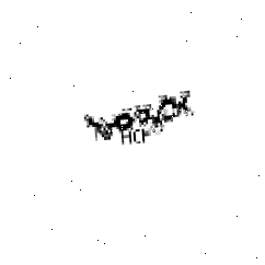 CCc1noc(-c2ccc(N3CC[C@H](C(=O)N4CCCN(C(C)C)CC4)C3)cc2)n1.Cl